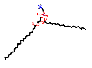 CCCCCCCCCC=CC=CC=CC=CC=CC=CC(=O)OCC(COP(=O)(O)OCC[N+](C)(C)C)OC(=O)CCCCCCCCCCCCCCCCC